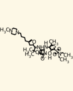 CCN(CC)S(=O)(=O)c1sc(C)c(Nc2n[s+]([O-])nc2N[C@@H](C2CC(CCCCN3CCN(C)CC3)=CO2)C(C)(C)C)c1O